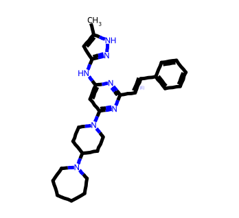 Cc1cc(Nc2cc(N3CCC(N4CCCCCC4)CC3)nc(/C=C/c3ccccc3)n2)n[nH]1